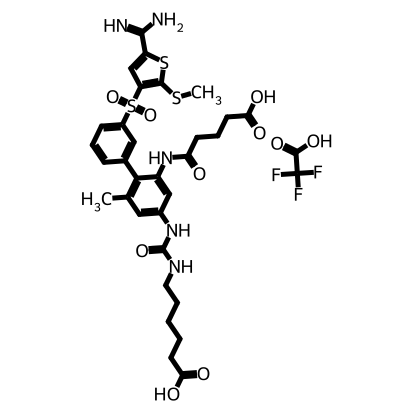 CSc1sc(C(=N)N)cc1S(=O)(=O)c1cccc(-c2c(C)cc(NC(=O)NCCCCCC(=O)O)cc2NC(=O)CCCC(=O)O)c1.O=C(O)C(F)(F)F